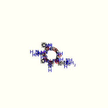 CC(=O)N[C@@H](CCCNC(=N)N)C(=O)N[C@H]1CC(=O)NCCOCCNC(=O)[C@H](Cc2c[nH]c3ccccc23)NC(=O)[C@H](CCCNC(=N)N)NC(=O)[C@@H](Cc2ccccc2)NC(=O)[C@H](Cc2c[nH]cn2)NC1=O